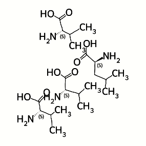 CC(C)C[C@H](N)C(=O)O.CC(C)[C@H](N)C(=O)O.CC(C)[C@H](N)C(=O)O.CC(C)[C@H](N)C(=O)O